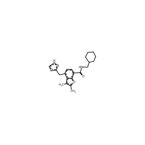 Cc1oc2c(C(=O)NCC3CCCCC3)ccc(Cc3nc[nH]n3)c2c1C